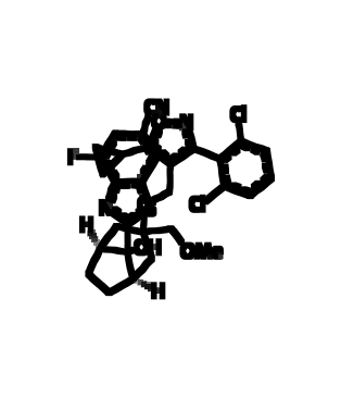 COCC1(OCc2c(-c3c(Cl)cccc3Cl)noc2C2CC2)C[C@H]2CC[C@@H](C1)C2(O)c1nc2c(F)cc(C#N)cc2s1